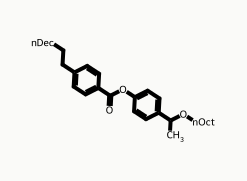 CCCCCCCCCCCCc1ccc(C(=O)Oc2ccc(C(C)OCCCCCCCC)cc2)cc1